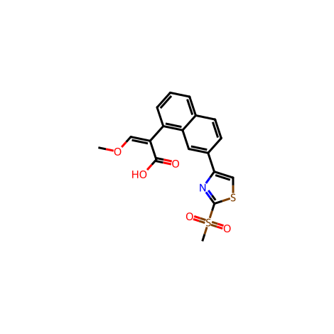 COC=C(C(=O)O)c1cccc2ccc(-c3csc(S(C)(=O)=O)n3)cc12